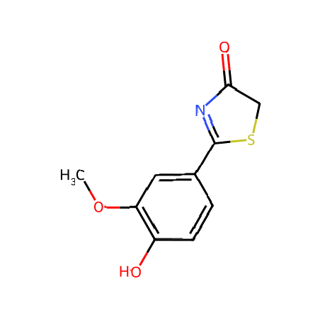 COc1cc(C2=NC(=O)CS2)ccc1O